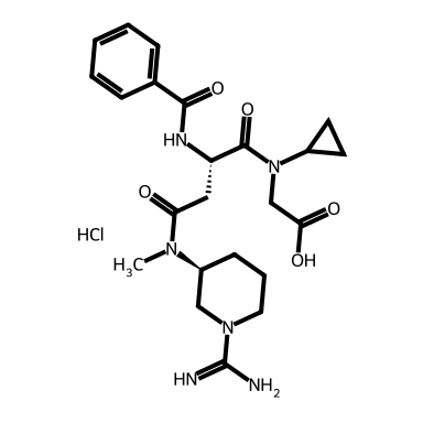 CN(C(=O)C[C@H](NC(=O)c1ccccc1)C(=O)N(CC(=O)O)C1CC1)[C@H]1CCCN(C(=N)N)C1.Cl